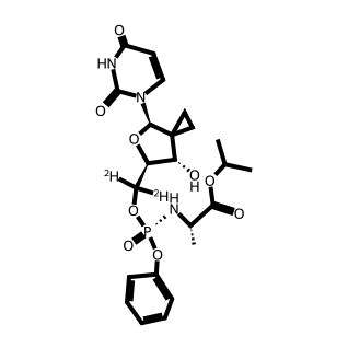 [2H]C([2H])(O[P@@](=O)(N[C@@H](C)C(=O)OC(C)C)Oc1ccccc1)[C@H]1O[C@@H](n2ccc(=O)[nH]c2=O)C2(CC2)[C@@H]1O